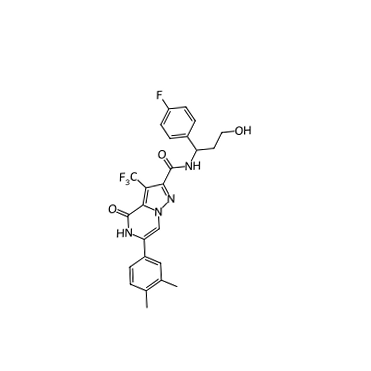 Cc1ccc(-c2cn3nc(C(=O)NC(CCO)c4ccc(F)cc4)c(C(F)(F)F)c3c(=O)[nH]2)cc1C